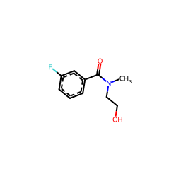 CN(CCO)C(=O)c1cccc(F)c1